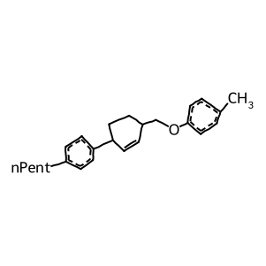 CCCCCc1ccc(C2C=CC(COc3ccc(C)cc3)CC2)cc1